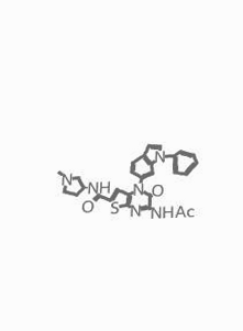 CC(=O)Nc1nc2sc(C(=O)N[C@@H]3CCN(C)C3)cc2n(-c2ccc3ccn(-c4ccccc4)c3c2)c1=O